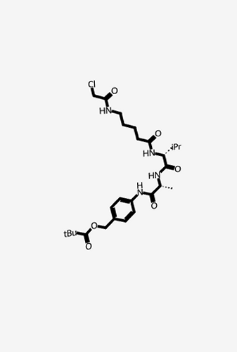 CC(C)[C@@H](NC(=O)CCCCNC(=O)CCl)C(=O)N[C@H](C)C(=O)Nc1ccc(COC(=O)C(C)(C)C)cc1